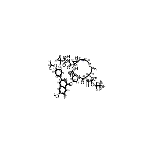 COc1cc2cc(-c3ccc(OC(C)C)cc3)nc(O[C@@H]3C[C@H]4C(=O)N[C@]5(C(=O)NS(=O)(=O)C6(C)CC6)C[C@H]5/C=C\CC[C@@H](C)C[C@@H](C)[C@H](NC(=O)OC(C)(C)C(F)(F)F)C(=O)N4C3)c2cc1F